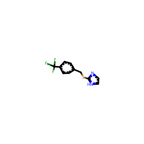 FC(F)(F)c1ccc(CSc2ncc[nH]2)cc1